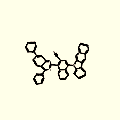 N#Cc1cc(-n2c3ccccc3c3cc4ccccc4cc32)c2ccccc2c1-c1nc(-c2ccccc2)c2ccc(-c3ccccc3)cc2n1